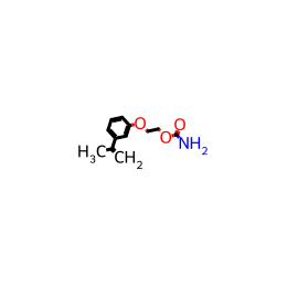 C=C(C)c1cccc(OCCOC(N)=O)c1